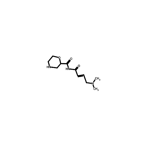 CN(C)CC=CC(=O)NC(=O)C1CNCCO1